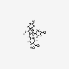 CCC(c1ccc(Cl)nc1)N(Cc1ccc(C(=O)O)cc1)S(=O)(=O)c1ccc(Cl)cc1